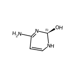 NC1=N[C@@H](O)NC=C1